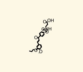 CCCOc1cc(/C=C/C(=O)c2ccc(S(=O)(=O)NCCC(=O)O)cc2)ccc1OC